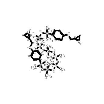 C[Si](C)(O[Si](C)(C)O[Si](C)(C)O[Si](C)(C)O[Si](C)(C)c1ccc(OCC2CO2)cc1)O[Si](C)(C)O[Si](C)(C)O[Si](C)(C)c1ccc(OCC2CO2)cc1